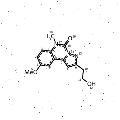 COc1ccc2c(c1)c1cc(CCO)nn1c(=O)n2C